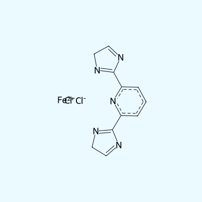 C1=NC(c2cccc(C3=NCC=N3)n2)=NC1.[Cl-].[Cl-].[Fe+2]